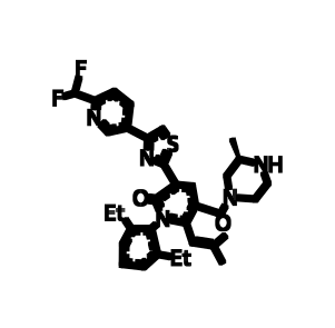 CCc1cccc(CC)c1-n1c(C=C(C)C)c(C(=O)N2CCN[C@H](C)C2)cc(-c2nc(-c3ccc(C(F)F)nc3)cs2)c1=O